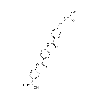 C=CC(=O)OCOc1ccc(C(=O)Oc2ccc(C(=O)Oc3ccc(B(O)O)cc3)cc2)cc1